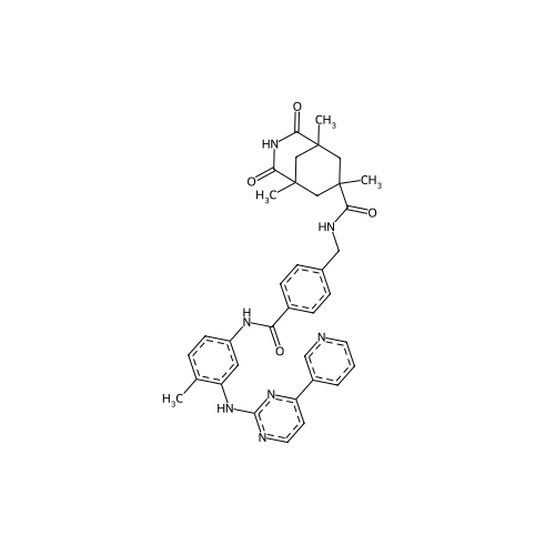 Cc1ccc(NC(=O)c2ccc(CNC(=O)C3(C)CC4(C)CC(C)(C3)C(=O)NC4=O)cc2)cc1Nc1nccc(-c2cccnc2)n1